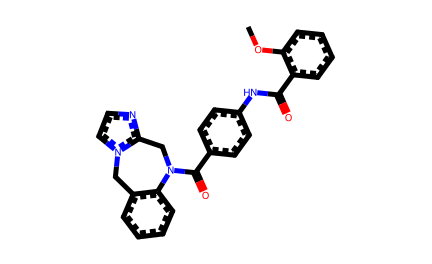 COc1ccccc1C(=O)Nc1ccc(C(=O)N2Cc3nccn3Cc3ccccc32)cc1